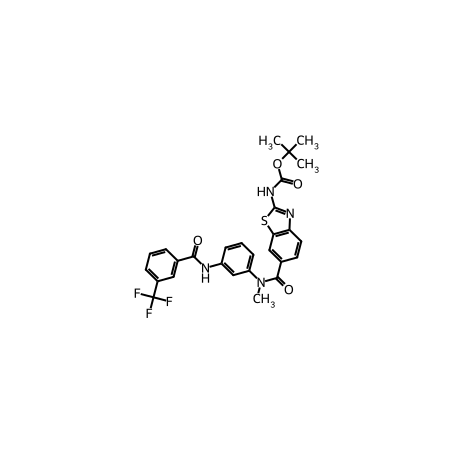 CN(C(=O)c1ccc2nc(NC(=O)OC(C)(C)C)sc2c1)c1cccc(NC(=O)c2cccc(C(F)(F)F)c2)c1